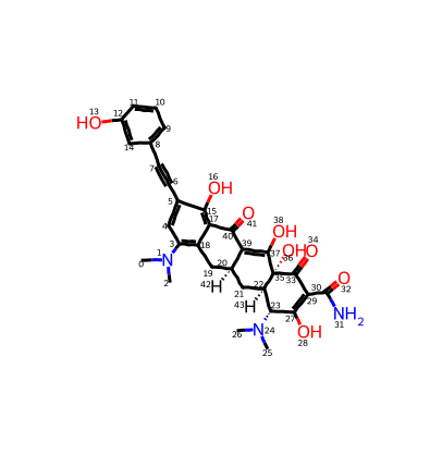 CN(C)c1cc(C#Cc2cccc(O)c2)c(O)c2c1C[C@@H]1C[C@@H]3[C@@H](N(C)C)C(O)=C(C(N)=O)C(=O)[C@]3(O)C(O)=C1C2=O